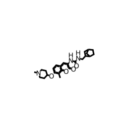 Cc1c(OC2CCN(C)CC2)ccc2cc(NC(=O)NCC3CC4CCC3C4)c(=O)oc12